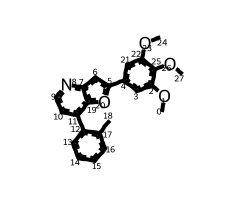 COc1cc(-c2cc3nccc(-c4ccccc4C)c3o2)cc(OC)c1OC